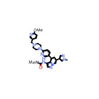 CNC(=O)Nc1cnn2cc(-c3cnn(C)c3)cc(-c3ccc(N4CCN(Cc5ccc(OC)nc5)CC4)nc3)c12